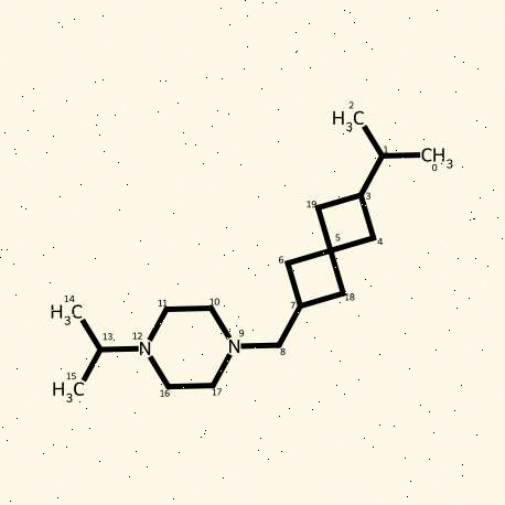 CC(C)C1CC2(CC(CN3CCN(C(C)C)CC3)C2)C1